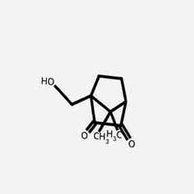 CC1(C)C2CCC1(CO)C(=O)C2=O